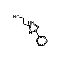 N#CCCc1nc(-c2ccccc2)c[nH]1